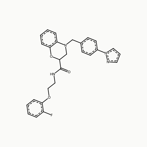 O=C(NCCOc1ccccc1F)C1CN(Cc2ccc(-n3cccn3)cc2)c2ccccc2O1